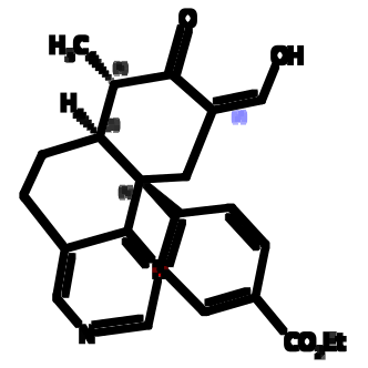 CCOC(=O)c1ccc([C@]23C/C(=C/O)C(=O)[C@@H](C)[C@@H]2CCc2cncnc23)cc1